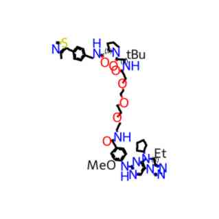 CC[C@@H]1c2nncn2-c2cnc(Nc3ccc(C(=O)NCCOCCOCCOCC(=O)N[C@H](C(=O)N4CCC[C@H]4C(=O)NCc4ccc(-c5scnc5C)cc4)C(C)(C)C)cc3OC)nc2N1C1CCCC1